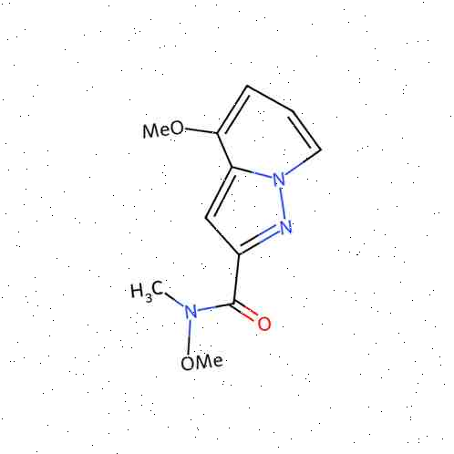 COc1cccn2nc(C(=O)N(C)OC)cc12